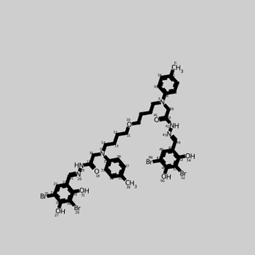 Cc1ccc(N(CCCCOCCCCN(CC(=O)N/N=C/c2cc(Br)c(O)c(Br)c2O)c2ccc(C)cc2)CC(=O)N/N=C/c2cc(Br)c(O)c(Br)c2O)cc1